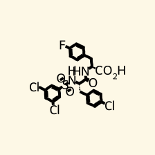 O=C(O)[C@H](Cc1ccc(F)cc1)NC(=O)[C@H](Cc1ccc(Cl)cc1)NS(=O)(=O)c1cc(Cl)cc(Cl)c1